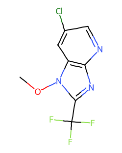 COn1c(C(F)(F)F)nc2ncc(Cl)cc21